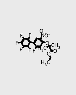 CCOC(=O)C(C)(C)Oc1cc(F)c(-c2c(F)c(F)c(F)c(F)c2F)cc1[N+](=O)[O-]